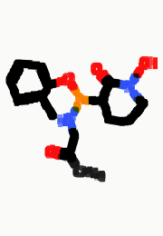 COC(=O)CNP(Oc1ccccc1C)C1CCCN(O)C1=O